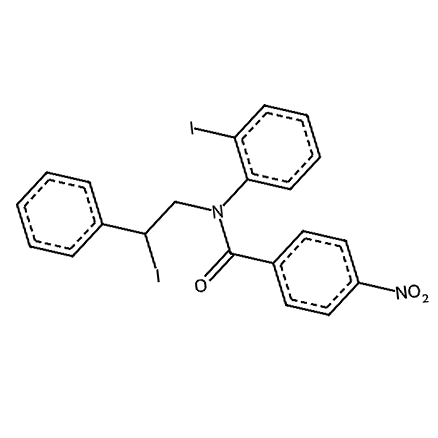 O=C(c1ccc([N+](=O)[O-])cc1)N(CC(I)c1ccccc1)c1ccccc1I